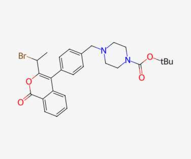 CC(Br)c1oc(=O)c2ccccc2c1-c1ccc(CN2CCN(C(=O)OC(C)(C)C)CC2)cc1